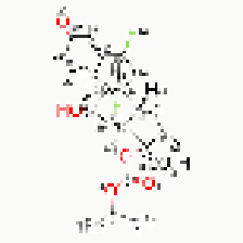 CCCC(CCC)OC(=O)O[C@@]1(C(=O)O)C(C)C[C@H]2[C@@H]3C[C@H](F)C4=CC(=O)C=C[C@]4(C)C3(F)C(O)C[C@@]21C